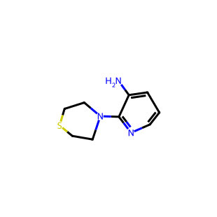 Nc1cccnc1N1CCSCC1